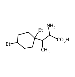 CCC1CCC(CC)(C(C)C(N)C(=O)O)CC1